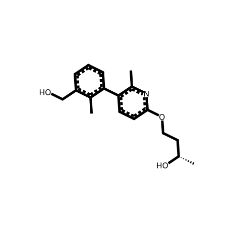 Cc1nc(OCC[C@H](C)O)ccc1-c1cccc(CO)c1C